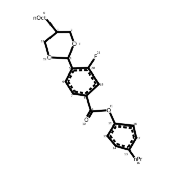 CCCCCCCCC1COC(c2ccc(C(=O)Oc3ccc(CCC)cc3)cc2F)OC1